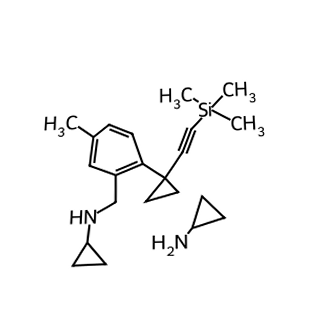 Cc1ccc(C2(C#C[Si](C)(C)C)CC2)c(CNC2CC2)c1.NC1CC1